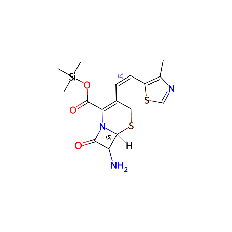 Cc1ncsc1/C=C\C1=C(C(=O)O[Si](C)(C)C)N2C(=O)C(N)[C@@H]2SC1